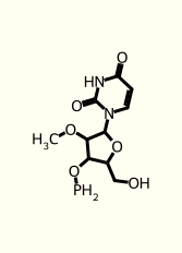 COC1C(OP)C(CO)OC1n1ccc(=O)[nH]c1=O